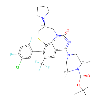 C[C@@H]1CN(c2nc(=O)n3c4c(c(-c5cc(Cl)c(F)cc5F)c(C(F)(F)F)cc24)SC[C@@H](N2CCCC2)C3)C[C@H](C)N1C(=O)OC(C)(C)C